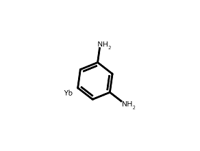 Nc1cccc(N)c1.[Yb]